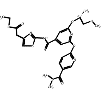 CCOC(=O)Cc1csc(NC(=O)c2cc(Oc3ccc(C(=O)N(C)C)cn3)nc(O[C@H](C)COC)c2)n1